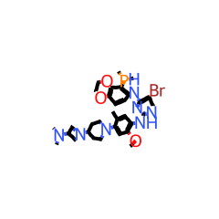 COc1cc(N2CCC(N3CC(N(C)C)C3)CC2)c(C)cc1Nc1ncc(Br)c(Nc2ccc3c(c2P(C)C)OCCO3)n1